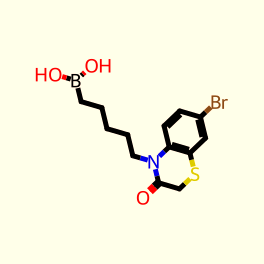 O=C1CSc2cc(Br)ccc2N1CCCCCB(O)O